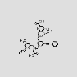 Cc1cc(CN(CC(=O)O)Cc2cc(C#Cc3ccccc3)cc(CN(COC=O)Cc3cc(C)cc(C(=O)O)n3)n2)nc(OC=O)c1